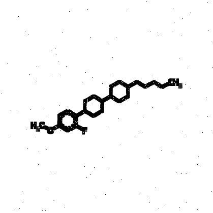 CCCCCC1CCC(C2CCC(c3ccc(OC)cc3F)CC2)CC1